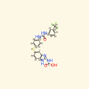 O=C(O)Nc1nc2cc(Sc3ccc(NC(=O)Nc4cccc(C(F)(F)F)c4)cc3)ccc2[nH]1